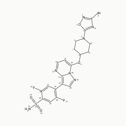 CC(C)c1noc(N2CCC(Oc3ccnc4c(-c5cc(F)c(S(N)(=O)=O)cc5F)cnn34)CC2)n1